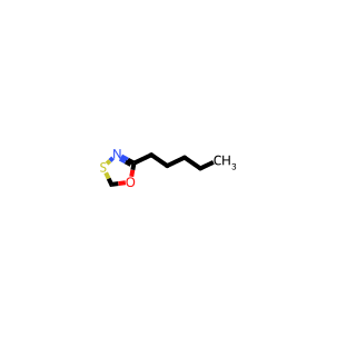 CCCCCC1=NSCO1